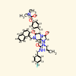 C=CCN(C(=O)NCc1ccc(F)cc1)N1CC(=O)N2[C@@H](Cc3ccc(OC(=O)N(C)C)cc3)C(=O)N(Cc3cccc4ccccc34)C[C@@H]21